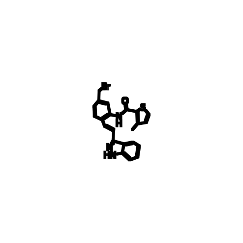 Cc1ccsc1C(=O)Nc1cc(CBr)ccc1C=Cc1n[nH]c2ccccc12